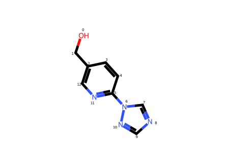 OCc1ccc(-n2cncn2)nc1